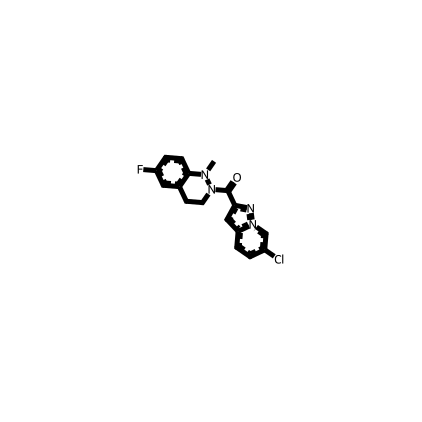 CN1c2ccc(F)cc2CCN1C(=O)c1cc2ccc(Cl)cn2n1